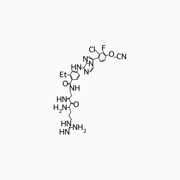 CCc1cc(Nc2nccn3c(-c4ccc(OCC#N)c(F)c4Cl)cnc23)ccc1C(=O)NCCC(=N)C(=O)C(N)CCCNC(=N)N